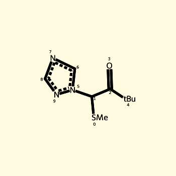 CSC(C(=O)C(C)(C)C)n1cncn1